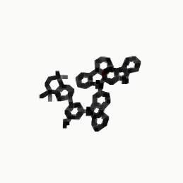 CC1(C)CCC(C)(C)c2cc(-c3cc(F)cc(-n4c5ccccc5c5ccc(N(c6ccc7c(c6)sc6ccccc67)c6ccccc6-c6ccccc6)cc54)c3)ccc21